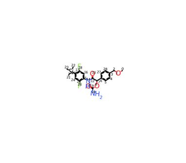 COCc1ccc(C(OC(N)=O)C(=O)Nc2cc(F)c([Si](C)(C)C)cc2F)cc1